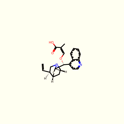 C=C[C@H]1CN2CC[C@H]1C[C@H]2[C@H](OC=C(C)C(=O)O)c1ccnc2ccccc12